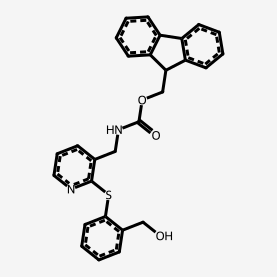 O=C(NCc1cccnc1Sc1ccccc1CO)OCC1c2ccccc2-c2ccccc21